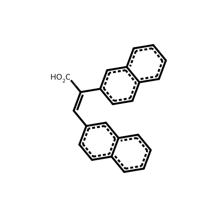 O=C(O)C(=Cc1ccc2ccccc2c1)c1ccc2ccccc2c1